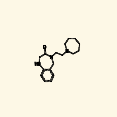 O=C1CNc2ccccc2CN1CCN1CCCCCC1